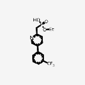 CCOP(=O)(O)Cc1ccc(-c2cccc(C(F)(F)F)c2)cn1